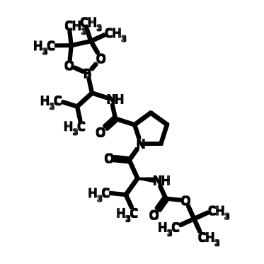 CC(C)C(NC(=O)C1CCCN1C(=O)[C@@H](NC(=O)OC(C)(C)C)C(C)C)B1OC(C)(C)C(C)(C)O1